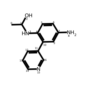 CC(O)Nc1ccc(N)cc1-c1cccnc1